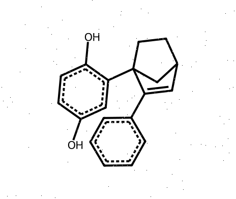 Oc1ccc(O)c(C23CCC(C=C2c2ccccc2)C3)c1